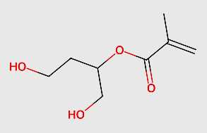 C=C(C)C(=O)OC(CO)CCO